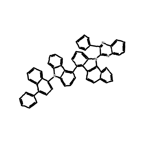 c1ccc(-c2nc3ccccc3nc2-n2c3cccc(-c4cccc5c4c4ccccc4n5-c4ccc(-c5ccccc5)c5ccccc45)c3c3ccc4ccccc4c32)cc1